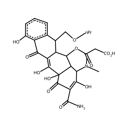 CCCOCC1c2cccc(O)c2C(=O)C2=C(O)C3(O)C(=O)C(C(N)=O)=C(O)C(N(C)C)C3C(OC(=O)CC(=O)O)C21